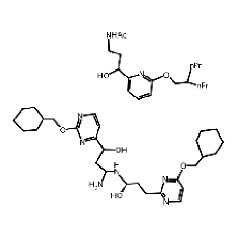 CCCC(CCC)COc1cccc(C(O)CCNC(C)=O)n1.NC(CC(O)c1ccnc(OCC2CCCCC2)n1)N[C@H](O)CCc1nccc(OCC2CCCCC2)n1